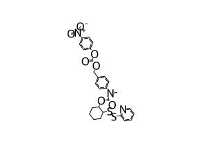 CN(C(=O)OC1CCCCC1SSc1ccccn1)c1ccc(COC(=O)Oc2ccc([N+](=O)[O-])cc2)cc1